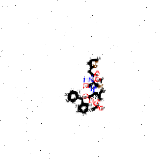 CO[C@@]1(NC(=O)Cc2cccs2)C(=O)N2C(C(=O)OC(c3ccccc3)c3ccccc3)=C(COC(C)=O)CS[C@H]21